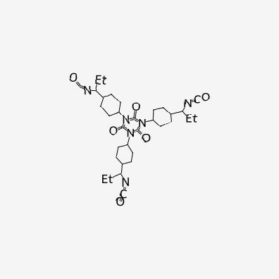 CCC(N=C=O)C1CCC(n2c(=O)n(C3CCC(C(CC)N=C=O)CC3)c(=O)n(C3CCC(C(CC)N=C=O)CC3)c2=O)CC1